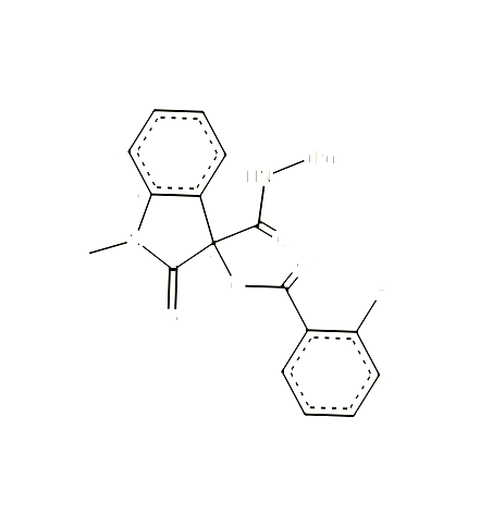 CN1C(=O)C(OC(=O)c2ccccc2F)(C(=O)NC(C)(C)C)c2ccccc21